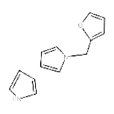 c1cc[nH]c1.c1coc(Cn2cccc2)c1